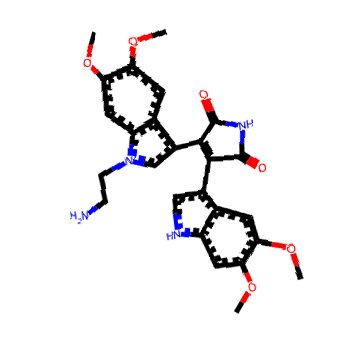 COc1cc2[nH]cc(C3=C(c4cn(CCN)c5cc(OC)c(OC)cc45)C(=O)NC3=O)c2cc1OC